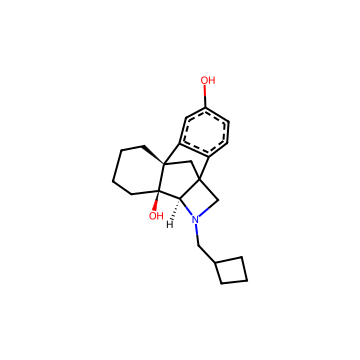 Oc1ccc2c(c1)[C@@]13CCCC[C@@]1(O)[C@@H]1N(CC4CCC4)CC21C3